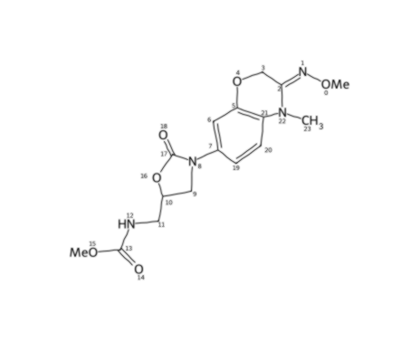 CON=C1COc2cc(N3CC(CNC(=O)OC)OC3=O)ccc2N1C